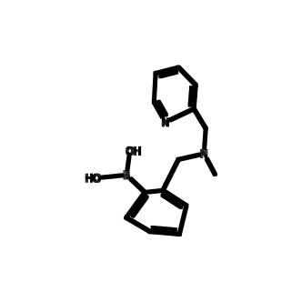 CN(Cc1ccccn1)Cc1ccccc1B(O)O